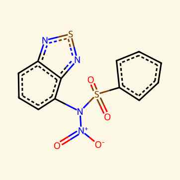 O=[N+]([O-])N(c1cccc2nsnc12)S(=O)(=O)c1ccccc1